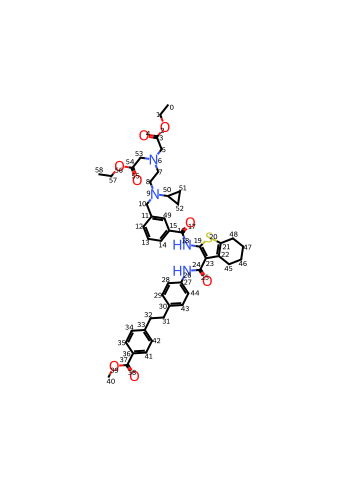 CCOC(=O)CN(CCN(Cc1cccc(C(=O)Nc2sc3c(c2C(=O)Nc2ccc(CCc4ccc(C(=O)OC)cc4)cc2)CCCC3)c1)C1CC1)CC(=O)OCC